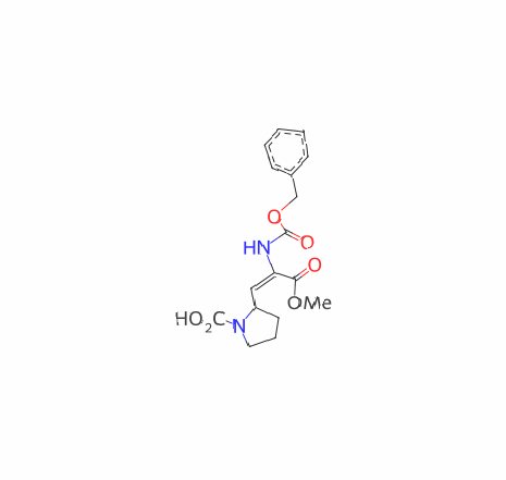 COC(=O)C(=CC1CCCN1C(=O)O)NC(=O)OCc1ccccc1